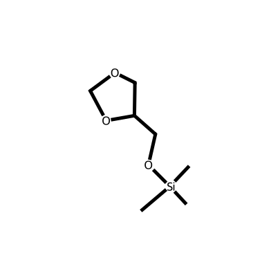 C[Si](C)(C)OCC1COCO1